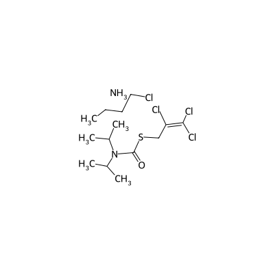 CC(C)N(C(=O)SCC(Cl)=C(Cl)Cl)C(C)C.CCCCCl.N